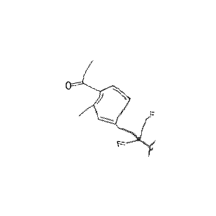 CC(=O)c1ccc(C(F)(F)F)cc1C